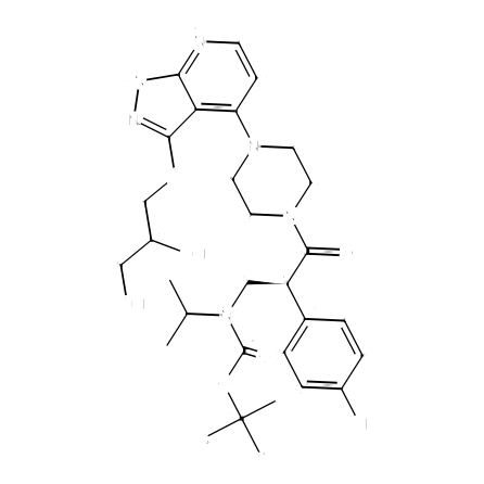 CC(C)N(C[C@@H](C(=O)N1CCN(c2ccnc3[nH]nc(OCC(O)CO)c23)CC1)c1ccc(Cl)cc1)C(=O)OC(C)(C)C